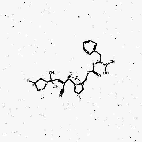 CC(C)(C=C(C#N)C(=O)N1C[C@@H](F)C[C@]1(C)COC(=O)N[C@@H](Cc1ccccc1)B(O)O)N1CC[C@@H](F)C1